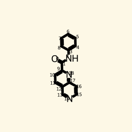 O=C(Nc1ccccc1)c1ccc2cnccc2n1